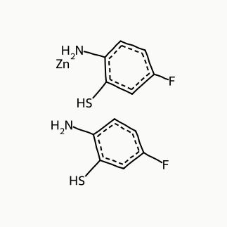 Nc1ccc(F)cc1S.Nc1ccc(F)cc1S.[Zn]